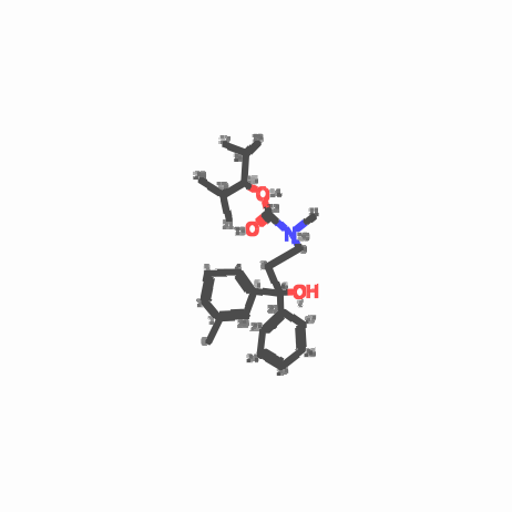 Cc1cccc(C(O)(CCN(C)C(=O)OC(C(C)C)C(C)C)c2ccccc2)c1